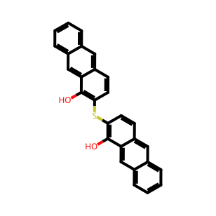 Oc1c(Sc2ccc3cc4ccccc4cc3c2O)ccc2cc3ccccc3cc12